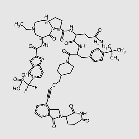 CCN1CC[C@H]2CC[C@@H](C(=O)NC(CCC(N)=O)C(=O)NC(Cc3ccc(C(C)(C)C)cc3)C(=O)N3CCC(CCC#Cc4cccc5c4CN(C4CCC(=O)NC4=O)C5=O)CC3)N2C(=O)[C@@H](NC(=O)c2cc3cc(C(F)(F)P(=O)(O)O)ccc3s2)C1